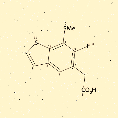 CSc1c(F)c(CC(=O)O)cc2ccsc12